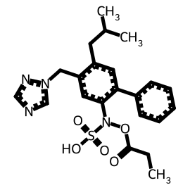 CCC(=O)ON(c1cc(Cn2cncn2)c(CC(C)C)cc1-c1ccccc1)S(=O)(=O)O